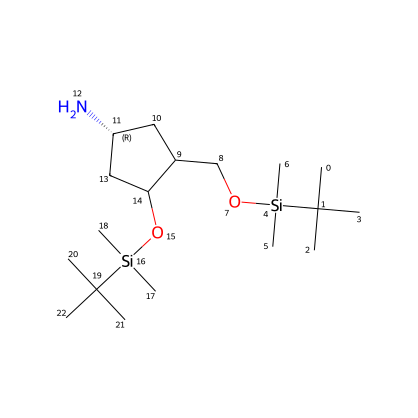 CC(C)(C)[Si](C)(C)OCC1C[C@@H](N)CC1O[Si](C)(C)C(C)(C)C